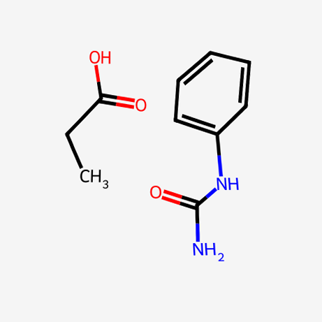 CCC(=O)O.NC(=O)Nc1ccccc1